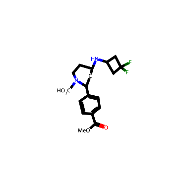 COC(=O)c1ccc(C2CC(NC3CC(F)(F)C3)CCN2C(=O)O)cc1